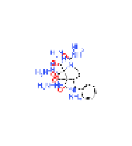 NNC(=O)N1CCC(Cc2ccccc2)C(C(=O)NN)(C(=O)NN)C1(C(=O)NN)C(=O)NN